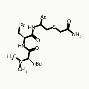 CCCC[C@@H](C(=O)N[C@@H](CC(C)C)C(=O)NC(CSCC(N)=O)C(C)=O)N(C)C